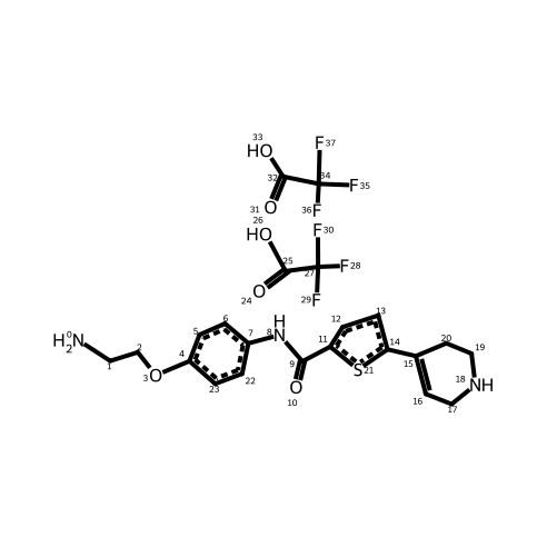 NCCOc1ccc(NC(=O)c2ccc(C3=CCNCC3)s2)cc1.O=C(O)C(F)(F)F.O=C(O)C(F)(F)F